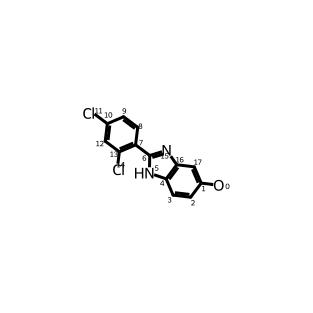 [O]c1ccc2[nH]c(-c3ccc(Cl)cc3Cl)nc2c1